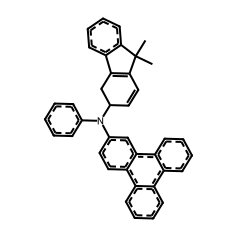 CC1(C)C2=C(CC(N(c3ccccc3)c3ccc4c5ccccc5c5ccccc5c4c3)C=C2)c2ccccc21